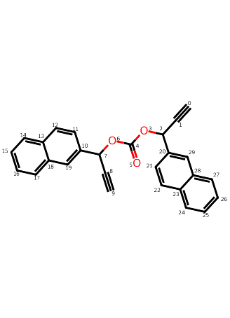 C#CC(OC(=O)OC(C#C)c1ccc2ccccc2c1)c1ccc2ccccc2c1